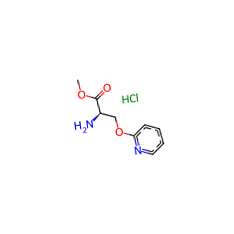 COC(=O)[C@H](N)COc1ccccn1.Cl